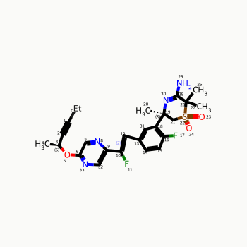 CCC#C[C@H](C)Oc1cnc(/C(F)=C/c2ccc(F)c([C@]3(C)CS(=O)(=O)C(C)(C)C(N)=N3)c2)cn1